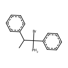 CC(c1ccccc1)C(P)(Br)c1ccccc1